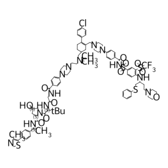 Cc1ncsc1-c1ccc([C@H](C)NC(=O)[C@@H]2C[C@@H](O)CN2C(=O)[C@@H](NC(=O)CNC(=O)c2ccc(N3CCN(CCN(C)CC4(C)CCC(c5ccc(Cl)cc5)=C(CN5CCN(c6ccc(C(=O)NS(=O)(=O)c7ccc(NC(CCN8CCOCC8)CSc8ccccc8)c(S(=O)(=O)C(F)(F)F)c7)cc6)CC5)C4)CC3)cc2)C(C)(C)C)cc1